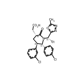 CC[C@@H](c1nnc(C)o1)N1C(=O)[C@@H](CC(=O)O)C[C@H](c2cccc(Cl)c2)[C@H]1c1ccc(Cl)cc1